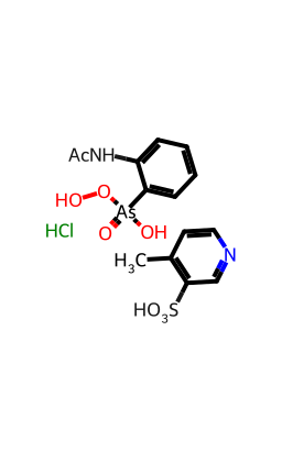 CC(=O)Nc1ccccc1[As](=O)(O)OO.Cc1ccncc1S(=O)(=O)O.Cl